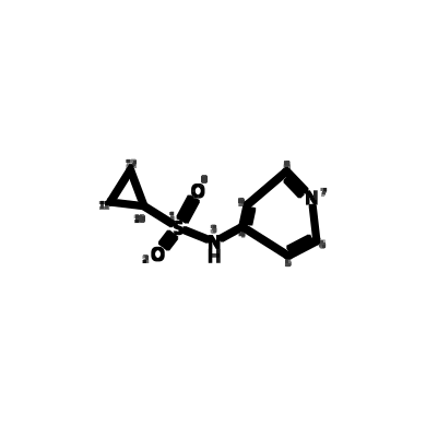 O=S(=O)(Nc1ccncc1)C1CC1